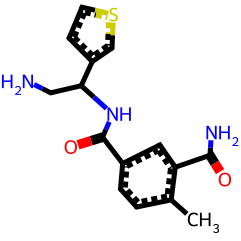 Cc1ccc(C(=O)NC(CN)c2ccsc2)cc1C(N)=O